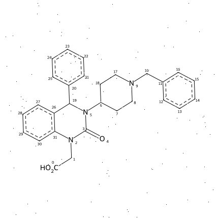 O=C(O)CN1C(=O)N(C2CCN(Cc3ccccc3)CC2)C(c2ccccc2)c2ccccc21